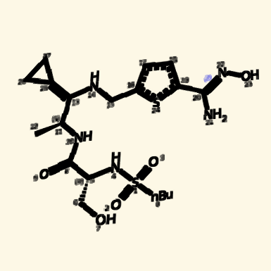 CCCCS(=O)(=O)N[C@H](CO)C(=O)N[C@@H](C)C(NCc1ccc(/C(N)=N/O)s1)=C1CC1